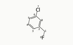 FCc1[c]ccc(Cl)c1